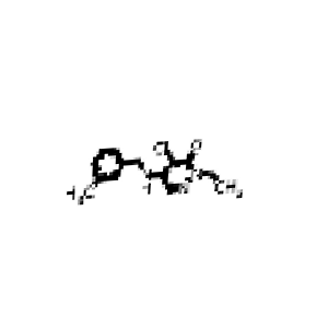 CCn1ncc(NCc2cccc(C)c2)c(Cl)c1=O